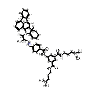 CCN(CC)CCCNC(=O)c1cc(NC(=O)c2ccc(/N=N/C(C(C)=O)C(=O)N3C4=CCCCC4(C)c4cc5c6c(cccc6c43)-c3ccccc3-5)cc2)cc(C(=O)NCCCN(CC)CC)c1